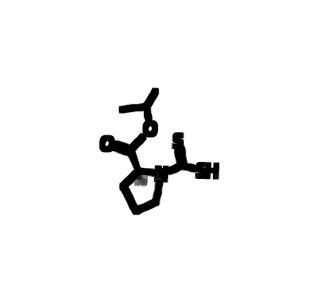 CC(C)OC(=O)[C@@H]1CCCN1C(=S)S